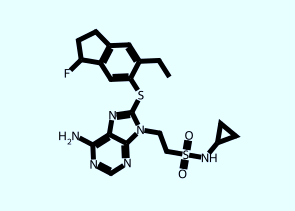 CCc1cc2c(cc1Sc1nc3c(N)ncnc3n1CCS(=O)(=O)NC1CC1)C(F)CC2